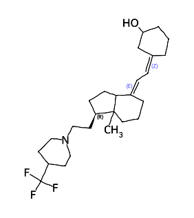 CC12CCC/C(=C\C=C3\CCCC(O)C3)C1CC[C@@H]2CCN1CCC(C(F)(F)F)CC1